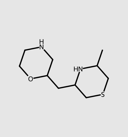 CC1CSCC(CC2CNCCO2)N1